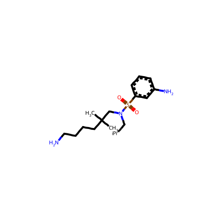 CC(C)CN(CC(C)(C)CCCCN)S(=O)(=O)c1cccc(N)c1